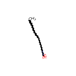 CCCCCCCCCCCCCCCCCCCCCCCCCC/C=C/C=C/C(=O)O